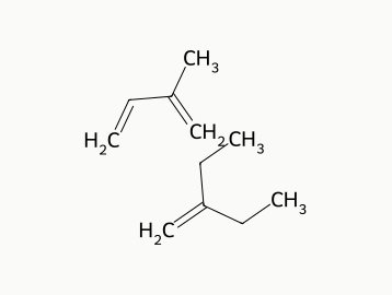 C=C(CC)CC.C=CC(=C)C